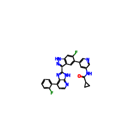 O=C(Nc1cncc(-c2cc3c(-c4nc5c(-c6ccccc6F)ccnc5[nH]4)n[nH]c3cc2F)c1)C1CC1